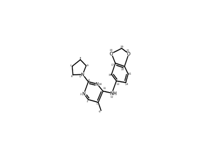 Cc1cnc(N2CCCC2)nc1Nc1ccc2c(c1)OCO2